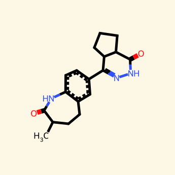 CC1CCc2cc(C3=NNC(=O)C4CCCC34)ccc2NC1=O